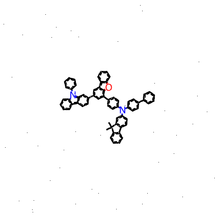 CC1(C)c2ccccc2-c2ccc(N(c3ccc(-c4ccccc4)cc3)c3ccc(-c4cc(-c5ccc6c7ccccc7n(-c7ccccc7)c6c5)cc5c4oc4ccccc45)cc3)cc21